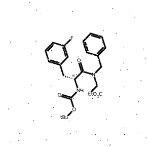 CCOC(=O)CN(Cc1ccccc1)C(=O)[C@@H](Cc1cccc(F)c1)NC(=O)OC(C)(C)C